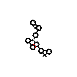 CC1(C)c2ccccc2-c2cc(-c3ccc(N(c4ccc(-c5cccc6c5sc5ccccc56)cc4)c4ccccc4-c4ccccc4)cc3)ccc21